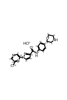 Cl.O=C(Nc1ccc([C@H]2CNCCO2)cc1)c1ccn(-c2cncc(Cl)n2)n1